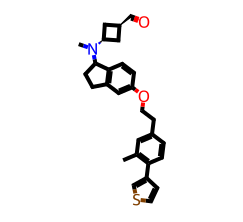 Cc1cc(CCOc2ccc3c(c2)CCC3N(C)[C@H]2C[C@H](C=O)C2)ccc1-c1ccsc1